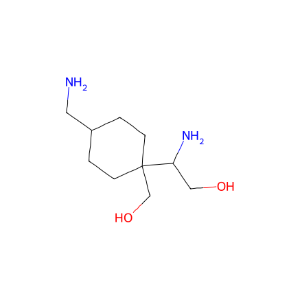 NCC1CCC(CO)(C(N)CO)CC1